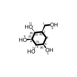 OC[C@H]1C[C@@H](O)[C@H](O)[C@@H](O)[C@@H]1O